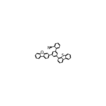 N#Cc1ccccc1-c1cc(-c2ccc3c(c2)oc2ccccc23)cc(-c2cccc3c2sc2ccccc23)c1